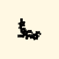 Cn1c(C(=O)NCc2cccc(N)n2)c(C=N)c2sc(Cc3c[nH]nn3)nc21